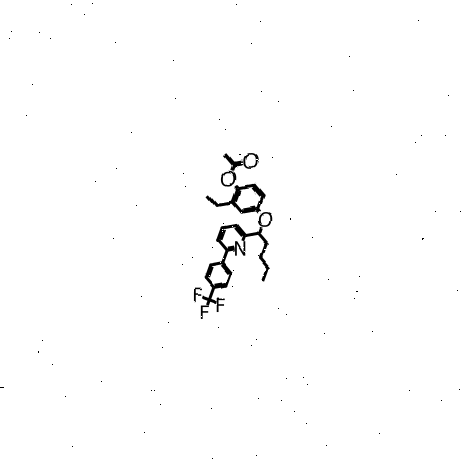 CCCCC(Oc1ccc(OC(C)=O)c(CC)c1)c1cccc(-c2ccc(C(F)(F)F)cc2)n1